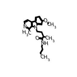 CCCCNC(=O)C(C)CCn1c2cc(OC)ccc2c2ccnc(C)c21